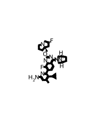 Cc1cc(N)nc(-c2ccc3c(N4C[C@H]5CC[C@@H](C4)N5)nc(OC[C@@]45CCCN4C[C@H](F)C5)nc3c2F)c1C1CC1